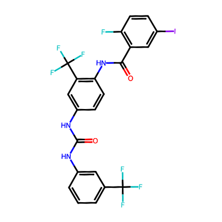 O=C(Nc1cccc(C(F)(F)F)c1)Nc1ccc(NC(=O)c2cc(I)ccc2F)c(C(F)(F)F)c1